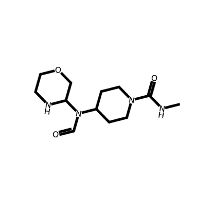 CNC(=O)N1CCC(N(C=O)C2COCCN2)CC1